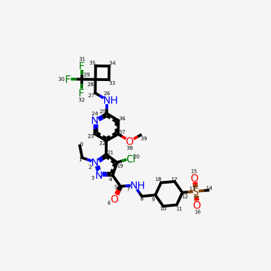 CCn1nc(C(=O)NCC2CCC(S(C)(=O)=O)CC2)c(Cl)c1-c1cnc(NCC2(C(F)(F)F)CCC2)cc1OC